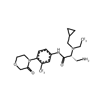 NC[C@H](C(=O)Nc1ccc(N2CCOCC2=O)c(C(F)(F)F)c1)N(CC1CC1)CC(F)(F)F